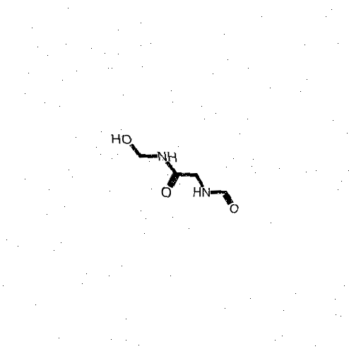 O=CNCC(=O)NCO